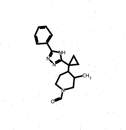 CC1CN(C=O)CCC1C1(c2nnc(-c3ccccc3)[nH]2)CC1